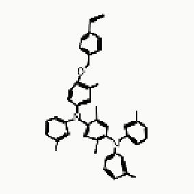 C=Cc1ccc(COc2ccc(N(c3cccc(C)c3)c3cc(C)c(N(c4cccc(C)c4)c4cccc(C)c4)cc3C)cc2C)cc1